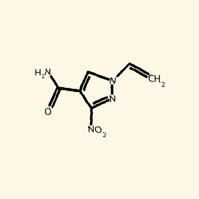 C=Cn1cc(C(N)=O)c([N+](=O)[O-])n1